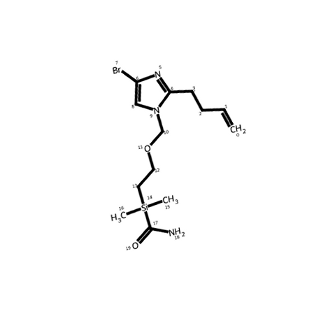 C=CC[CH]c1nc(Br)cn1COCC[Si](C)(C)C(N)=O